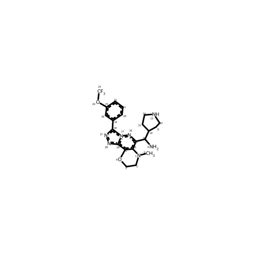 CN1CCOc2c1c(C(N)C1CCNCC1)nn1c(-c3cccc(OC(F)(F)F)c3)nnc21